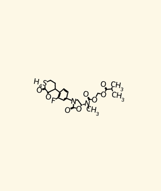 CC(C)C(=O)OCOC(=O)N(C)[C@@H]1CN(c2ccc(C3CC[SH4]C(=O)C3=O)c(F)c2)C(=O)O1